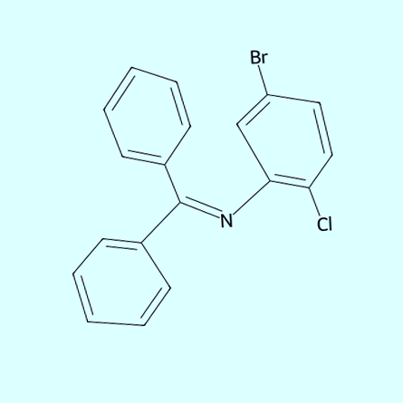 Clc1ccc(Br)cc1N=C(c1ccccc1)c1ccccc1